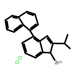 CC(C)C1=Cc2c(-c3cccc4ccccc34)cccc2[CH]1[Zr+2].[Cl-].[Cl-]